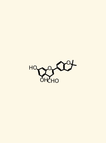 CC1(C)C=Cc2cc(C3=CC(C=O)c4c(O)cc(O)cc4O3)ccc2O1